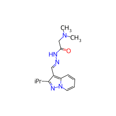 CC(C)c1nn2ccccc2c1C=NNC(=O)CN(C)C